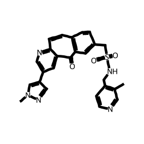 Cc1cnccc1CNS(=O)(=O)Cc1ccc2ccc3ncc(-c4cnn(C)c4)cc3c(=O)c2c1